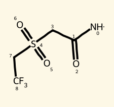 [NH]C(=O)CS(=O)(=O)CC(F)(F)F